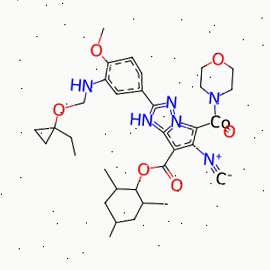 [C-]#[N+]c1c(C(=O)OC2C(C)CC(C)CC2C)c2[nH]c(-c3ccc(OC)c(NCOC4(CC)CC4)c3)nn2[c]1[Co](=[O])[N]1CCOCC1